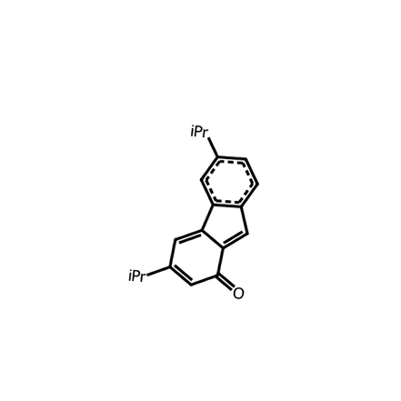 CC(C)C1=CC(=O)C2=Cc3ccc(C(C)C)cc3C2=C1